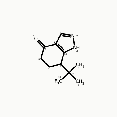 CC(C)(C1CCC(=O)c2cn[nH]c21)C(F)(F)F